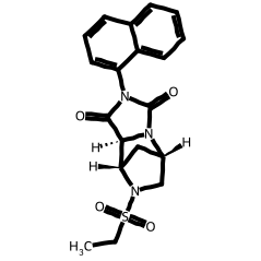 CCS(=O)(=O)N1C[C@@H]2C[C@H]1[C@H]1C(=O)N(c3cccc4ccccc34)C(=O)N21